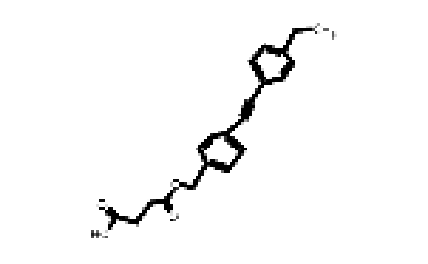 CCc1ccc(C#Cc2ccc(COC(=O)CCC(=O)O)cc2)cc1